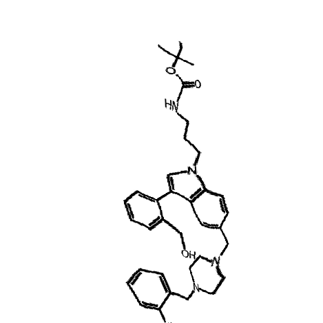 CC(C)(C)OC(=O)NCCCn1cc(-c2ccccc2CO)c2cc(CN3CCN(Cc4ccccc4Cl)CC3)ccc21